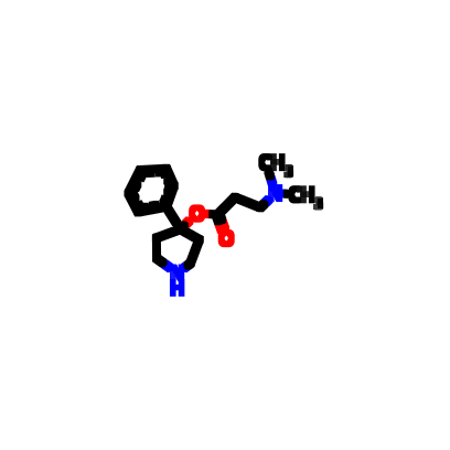 CN(C)CCC(=O)OC1(c2ccccc2)CCNCC1